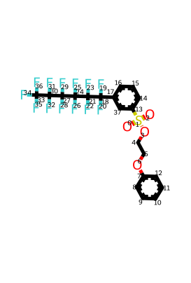 O=S(=O)(OCCOc1ccccc1)c1cccc(C(F)(F)C(F)(F)C(F)(F)C(F)(F)C(F)(F)C(F)(F)F)c1